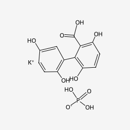 O=C(O)c1c(O)ccc(O)c1-c1cc(O)ccc1O.O=P([O-])(O)O.[K+]